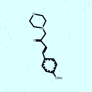 COc1ccc(C=CC(=O)CN2CCOCC2)cc1